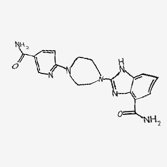 NC(=O)c1ccc(N2CCN(c3nc4c(C(N)=O)cccc4[nH]3)CC2)nc1